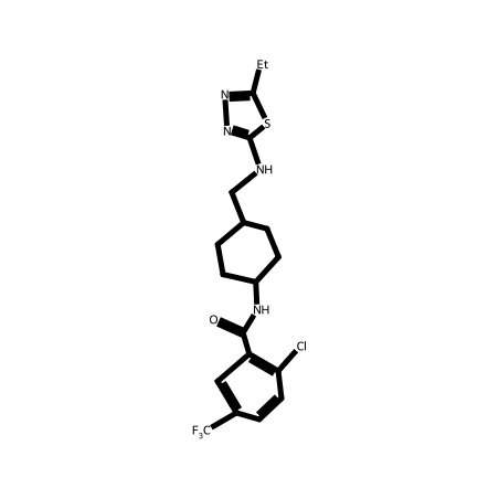 CCc1nnc(NCC2CCC(NC(=O)c3cc(C(F)(F)F)ccc3Cl)CC2)s1